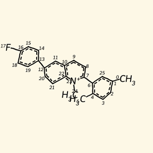 Cc1ccc(C)c(-c2ccc3cc(-c4ccc(F)cc4)ccc3[n+]2C)c1